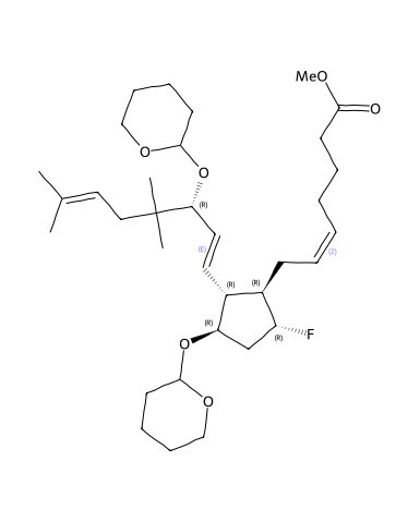 COC(=O)CCC/C=C\C[C@@H]1[C@@H](/C=C/[C@@H](OC2CCCCO2)C(C)(C)CC=C(C)C)[C@H](OC2CCCCO2)C[C@H]1F